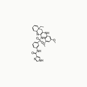 CCC12C=CC=CC1=NC(NS(=O)(=O)c1cccc(NC(=O)c3c[nH]cn3)c1)=C(Nc1cc(OC)cc(OC)c1)C2